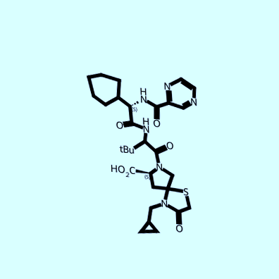 CC(C)(C)C(NC(=O)[C@@H](NC(=O)c1cnccn1)C1CCCCC1)C(=O)N1CC2(C[C@H]1C(=O)O)SCC(=O)N2CC1CC1